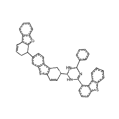 C1=Cc2c(oc3ccccc23)C(c2ccc3c4c(sc3c2)C=CC(C2NC(c3cccc5sc6ccccc6c35)=NC(c3ccccc3)N2)C4)C1